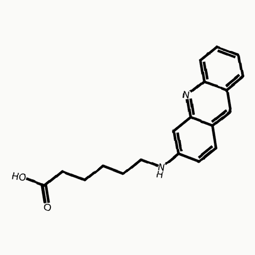 O=C(O)CCCCCNc1ccc2cc3ccccc3nc2c1